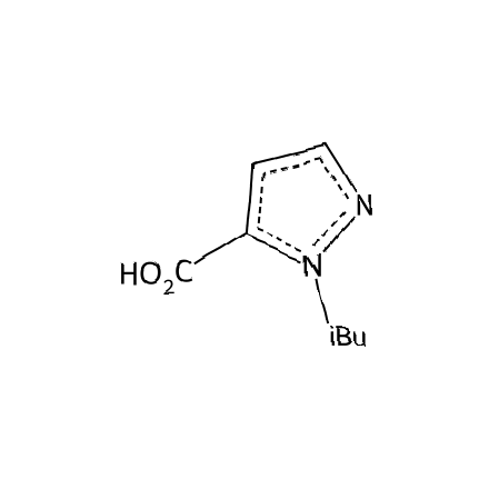 CCC(C)n1nccc1C(=O)O